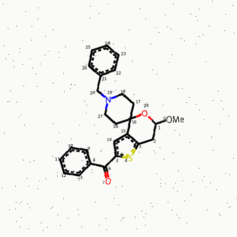 COC1Cc2sc(C(=O)c3ccccc3)cc2C2(CCN(Cc3ccccc3)CC2)O1